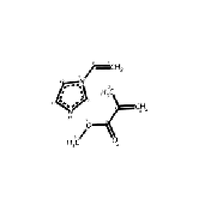 C=C(C)C(=O)OC.C=Cn1ccnc1